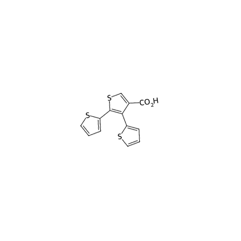 O=C(O)c1csc(-c2cccs2)c1-c1cccs1